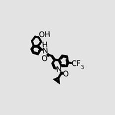 O=C(C=C1C=CN(C(=O)C2CC2)c2cc(C(F)(F)F)ccc21)Nc1cccc2c1CC(O)CC2